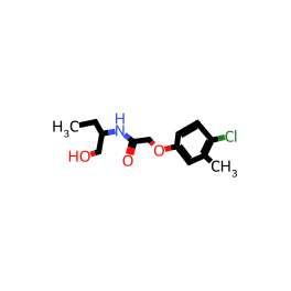 CCC(CO)NC(=O)COc1ccc(Cl)c(C)c1